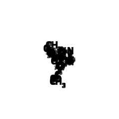 COC(=O)CCC1C=CC(c2c(-c3ccsc3C#N)c3ccccc3n2[S+]([O-])c2ccc(OC)cc2)=CC1